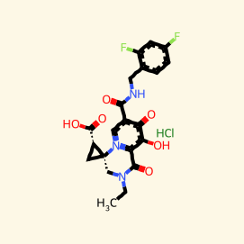 CCN1C[C@@]2(C[C@@H]2C(=O)O)n2cc(C(=O)NCc3ccc(F)cc3F)c(=O)c(O)c2C1=O.Cl